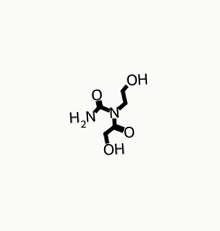 NC(=O)N(CCO)C(=O)CO